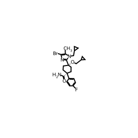 Cc1c(Br)nc([C@]2(OCC3CC3)CC[C@](C(N)=O)(c3ccc(F)cc3)CC2)n1CC1CC1